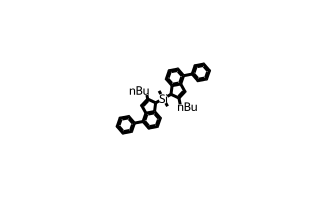 CCCCC1=Cc2c(-c3ccccc3)cccc2C1[Si](C)(C)C1C(CCCC)=Cc2c(-c3ccccc3)cccc21